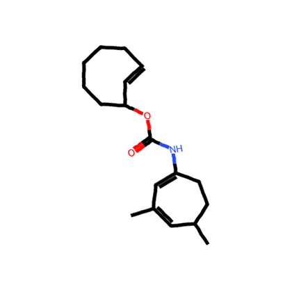 CC1=CC(C)CCC(NC(=O)OC2/C=C/CCCCC2)=C1